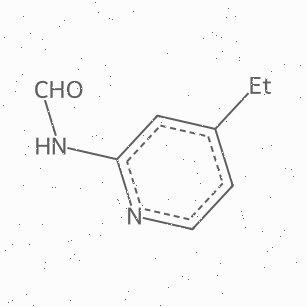 CCc1ccnc(NC=O)c1